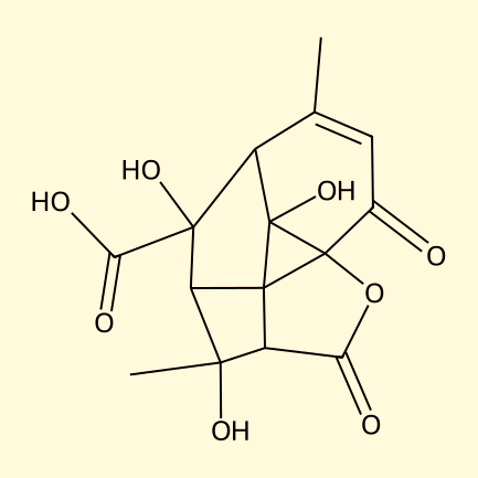 CC1=CC(=O)C23OC(=O)C4C(C)(O)C5C(O)(C(=O)O)C1C2(O)C453